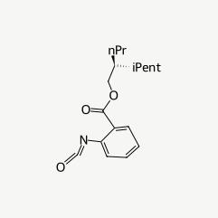 CCC[C@H](COC(=O)c1ccccc1N=C=O)[C@@H](C)CCC